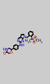 CN(c1ccccc1Cn1ccc2cnc(Nc3ccc(C4CNC(=O)CO4)cc3)nc21)S(C)(=O)=O